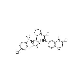 Cc1nnc([C@H]2CCCN2C(=O)Nc2ccc3c(c2)N(C)C(=O)CO3)n1C1(c2ccc(Cl)cc2)CC1